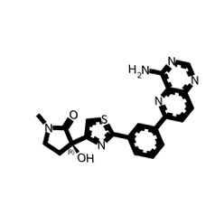 CN1CC[C@@](O)(c2csc(-c3cccc(-c4ccc5ncnc(N)c5n4)c3)n2)C1=O